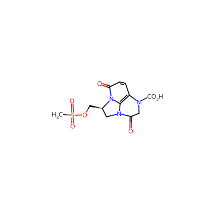 CS(=O)(=O)OC[C@@H]1CN2C(=O)CN(C(=O)O)c3ccc(=O)n1c32